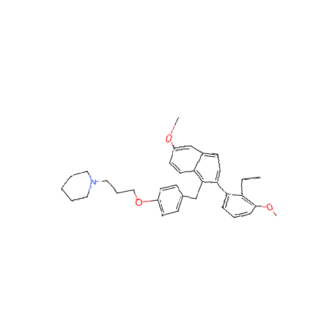 CCc1c(OC)cccc1-c1ccc2cc(OC)ccc2c1Cc1ccc(OCCCN2CCCCC2)cc1